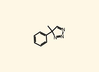 CC1(c2ccccc2)C=NN=N1